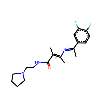 C/C(=N\C(C)=C(/C)C(=O)NCCN1CCCC1)c1ccc(F)c(F)c1